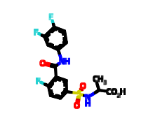 CC(NS(=O)(=O)c1ccc(F)c(C(=O)Nc2ccc(F)c(F)c2)c1)C(=O)O